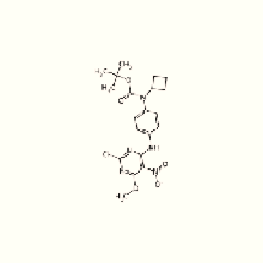 COc1nc(Cl)nc(Nc2ccc(N(C(=O)OC(C)(C)C)C3CCC3)cc2)c1[N+](=O)[O-]